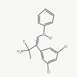 NC(F)(F)/C(=C/[S+]([O-])c1ccccc1)c1cc(Cl)cc(Cl)c1